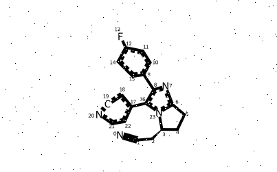 N#CC[C@@H]1CCc2nc(-c3ccc(F)cc3)c(-c3ccncc3)n21